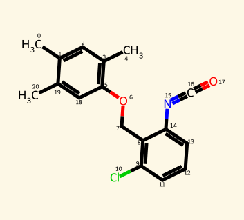 Cc1cc(C)c(OCc2c(Cl)cccc2N=C=O)cc1C